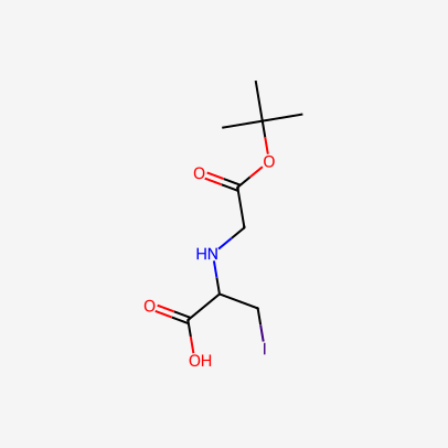 CC(C)(C)OC(=O)CNC(CI)C(=O)O